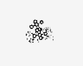 CC(C)(C)c1cc(-c2c3c(c(-c4cc(C(C)(C)C)cc(C(C)(C)C)c4)c4ccccc24)-c2ccc4c5c(ccc-3c25)-c2c-4c(-c3ccccc3)c3ccccc3c2-c2ccccc2)cc(C(C)(C)C)c1